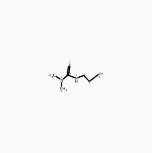 CC(C)CCNC(=S)N(C)C